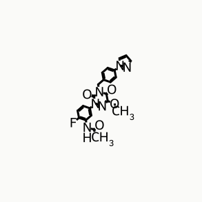 COc1nn(-c2ccc(F)c(NC(C)=O)c2)c(=O)n(Cc2ccc(-n3cccn3)cc2)c1=O